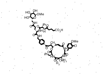 COc1ccc(C[C@H]2NC(=O)/C=C/C[C@@H]([C@H](C)[C@H]3O[C@@H]3c3ccc(CNC(=O)[C@H](CCC(=O)NC[C@H]4O[C@@H](OC)[C@H](O)[C@@H](O)[C@@H]4O)NC(=O)[C@@H](NC(=O)CCCC(=O)O)C(C)C)cc3)OC(=O)[C@H](CC(C)C)NC(=O)C(C)(C)[C@H](C)NC2=O)cc1Cl